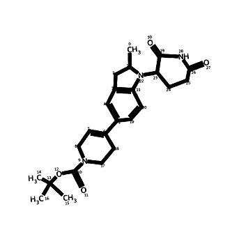 CC1Cc2cc(C3=CCN(C(=O)OC(C)(C)C)CC3)ccc2N1C1CCC(=O)NC1=O